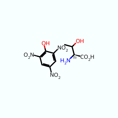 CC(O)[C@H](N)C(=O)O.O=[N+]([O-])c1cc([N+](=O)[O-])c(O)c([N+](=O)[O-])c1